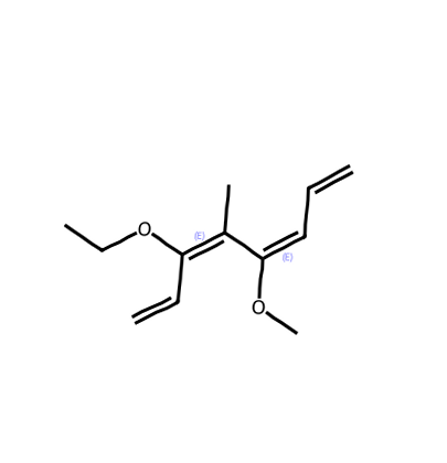 C=C/C=C(OC)\C(C)=C(/C=C)OCC